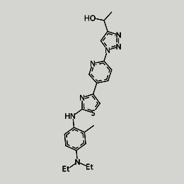 CCN(CC)c1ccc(Nc2nc(-c3ccc(-n4cc(C(C)O)nn4)nc3)cs2)c(C)c1